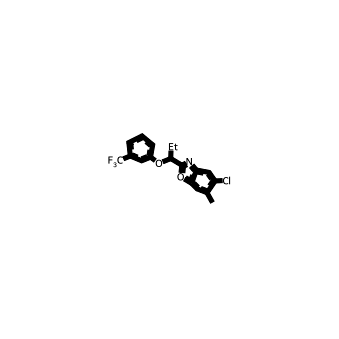 CCC(Oc1cccc(C(F)(F)F)c1)c1nc2cc(Cl)c(C)cc2o1